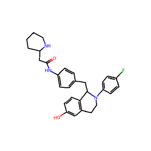 O=C(CC1CCCCN1)Nc1ccc(CC2c3ccc(O)cc3CCN2c2ccc(F)cc2)cc1